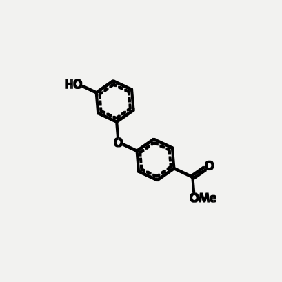 COC(=O)c1ccc(Oc2cccc(O)c2)cc1